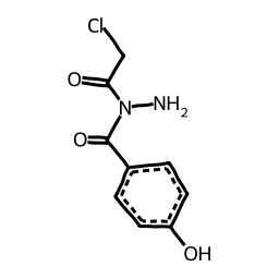 NN(C(=O)CCl)C(=O)c1ccc(O)cc1